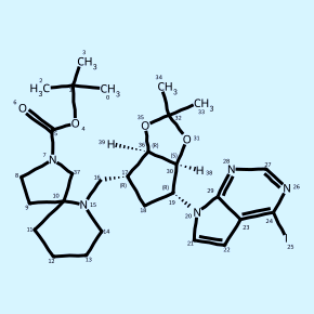 CC(C)(C)OC(=O)N1CCC2(CCCCN2C[C@H]2C[C@@H](n3ccc4c(I)ncnc43)[C@@H]3OC(C)(C)O[C@H]23)C1